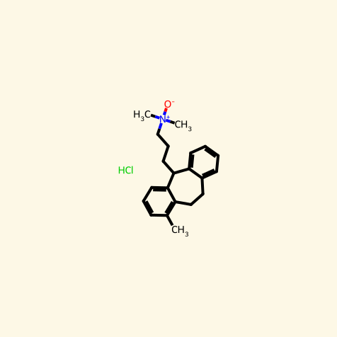 Cc1cccc2c1CCc1ccccc1C2CCC[N+](C)(C)[O-].Cl